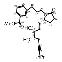 CCCC#CC[C@H](C)[C@H](O)C=C[C@H]1CCC(=O)N1CCCc1cccc(C(=O)OC)c1